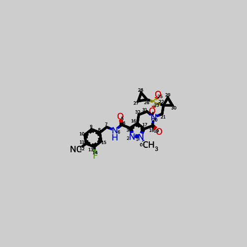 Cn1nc(C(=O)NCc2ccc(C#N)c(F)c2)c2c1C(=O)N(CC1(S(=O)(=O)C3CC3)CC1)CC2